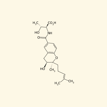 CC(C)=CCC[C@]1(C)Oc2ccc(C(=O)N[C@H](C(=O)O)[C@@H](C)O)cc2C[C@@H]1O